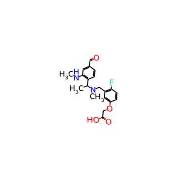 CNc1cc(C=O)ccc1C(C)N(C)Cc1cc(OCC(=O)O)ccc1F